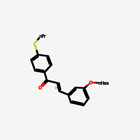 CCCCCCOc1cccc(/C=C/C(=O)c2ccc(SCCC)cc2)c1